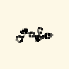 CN1CCN(c2cnn(-c3ccc(C4=C(Cc5ccccc5)OCO4)cc3)c2-c2ccccc2)CC1